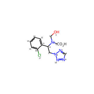 O=C(O)N(CO)C(Cn1ncnn1)c1ccccc1Cl